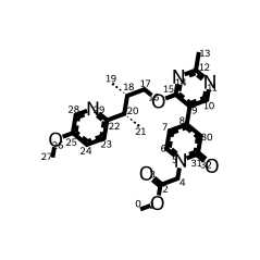 COC(=O)Cn1ccc(-c2cnc(C)nc2OC[C@@H](C)[C@H](C)c2ccc(OC)cn2)cc1=O